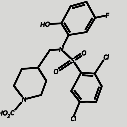 O=C(O)N1CCC(CN(c2cc(F)ccc2O)S(=O)(=O)c2cc(Cl)ccc2Cl)CC1